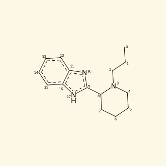 CCCN1CCCCC1c1nc2ccccc2[nH]1